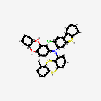 Cc1ccccc1Sc1c(S)cccc1N(c1ccc2c(c1)Oc1ccccc1O2)c1cc2sc3ccccc3c2cc1Cl